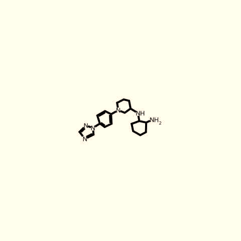 NC1CCCCC1NC1CCCN(c2ccc(-n3cncn3)cc2)C1